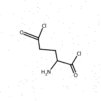 NC(CCC(=O)Cl)C(=O)Cl